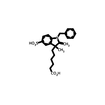 C=C1N(Cc2ccccc2)c2ccc(S(=O)(=O)O)cc2C1(C)CCCCCC(=O)O